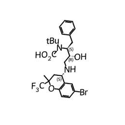 CC(C)(C)N(C(=O)O)[C@@H](Cc1ccccc1)[C@H](O)CN[C@H]1CC(C)(C(F)(F)F)Oc2ccc(Br)cc21